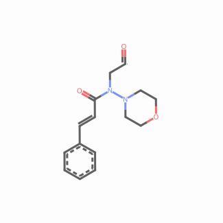 O=[C]CN(C(=O)/C=C/c1ccccc1)N1CCOCC1